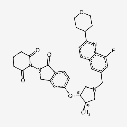 C[C@@H]1CN(Cc2cc(F)c3nc(C4CCOCC4)ccc3c2)C[C@H]1Oc1ccc2c(c1)CN(N1C(=O)CCCC1=O)C2=O